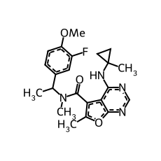 COc1ccc(C(C)N(C)C(=O)c2c(C)oc3ncnc(NC4(C)CC4)c23)cc1F